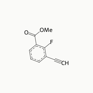 C#Cc1cccc(C(=O)OC)c1F